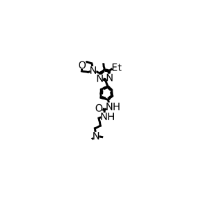 CCc1nc(-c2ccc(NC(=O)NCCCN(C)C)cc2)nc(N2CCOCC2)c1C